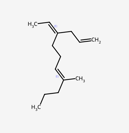 C=CC/C(=C/C)CC/C=C(\C)CCC